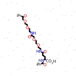 CC(C)C(=O)COCCOCCNC(=O)COCCOCCNC(=O)CC[C@H](NC(=O)C(C)C)C(=O)O